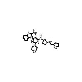 O=C(CC1CCCO1)N1CC[C@H](Nc2cc(-n3c(C(F)F)nc4ccccc43)nc(N3CCOCC3)n2)C1